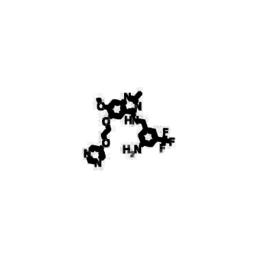 COc1cc2nc(C)nc(NCc3cc(N)cc(C(F)(F)F)c3)c2cc1OCCOc1cncnc1